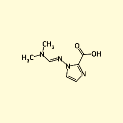 CN(C)C=Nn1ccnc1C(=O)O